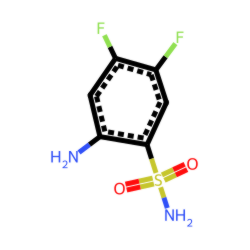 Nc1cc(F)c(F)cc1S(N)(=O)=O